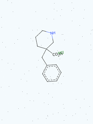 CCOC(=O)C1(Cc2ccccc2)CCCNC1.Cl